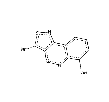 N#Cc1snc2c1nnc1c(O)cccc12